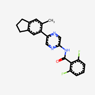 Cc1cc2c(cc1-c1cnc(NC(=O)c3c(F)cccc3F)cn1)CCC2